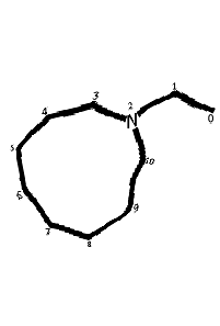 CCN1CCCCCCCC1